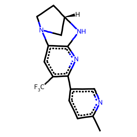 Cc1ccc(-c2nc3c(cc2C(F)(F)F)N2CC[C@@H](C2)N3)cn1